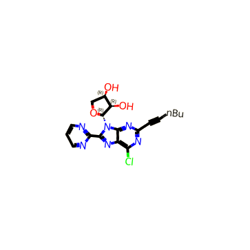 CCCCC#Cc1nc(Cl)c2nc(-c3ncccn3)n([C@@H]3OC[C@@H](O)[C@H]3O)c2n1